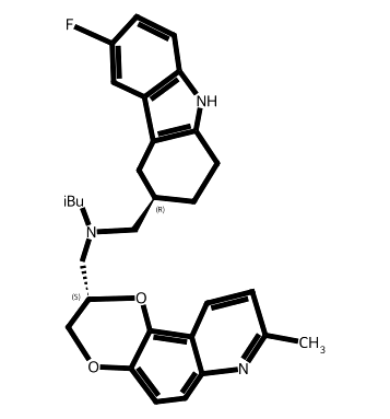 CCC(C)N(C[C@@H]1CCc2[nH]c3ccc(F)cc3c2C1)C[C@H]1COc2ccc3nc(C)ccc3c2O1